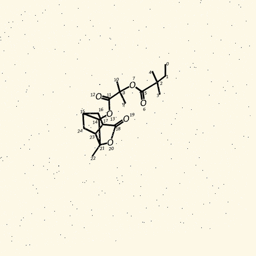 CCC(C)(C)C(=O)OC(C)(C)C(=O)OC1C2CC3C(=O)OC1(C)C3C2